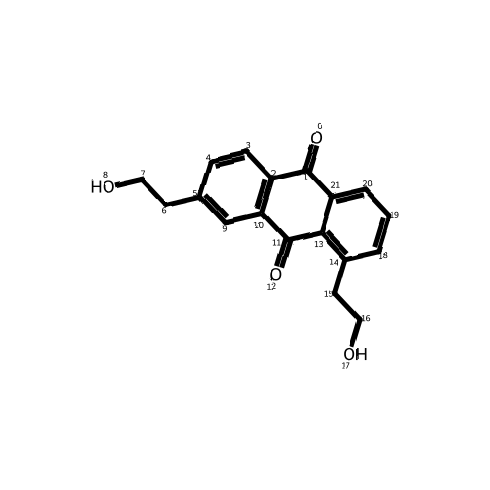 O=C1c2ccc(CCO)cc2C(=O)c2c(CCO)cccc21